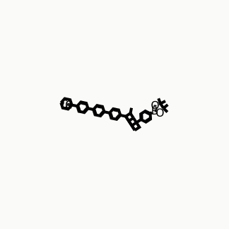 CC1C2C3C4C(CC24c2ccc(B4OC(C)(C)C(C)(C)O4)cc2)C13c1ccc(-c2ccc(-c3ccc(C45CCC(CC4)CC5)cc3)cc2)cc1